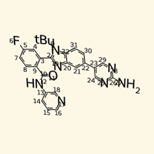 CC(C)(C)n1c(-c2cc(F)ccc2C(=O)Nc2cccnc2)nc2cc(-c3cnc(N)nc3)ccc21